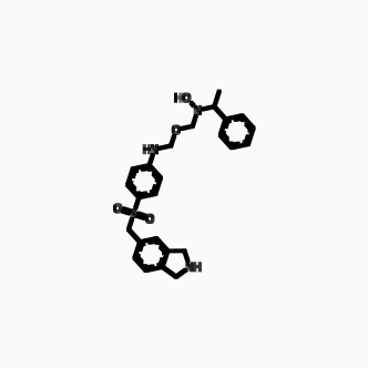 CC(c1ccccc1)N(O)COCNc1ccc(S(=O)(=O)Cc2ccc3c(c2)CNC3)cc1